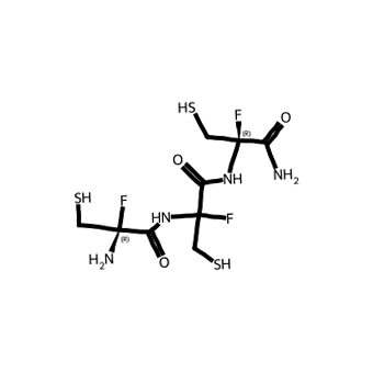 NC(=O)[C@@](F)(CS)NC(=O)C(F)(CS)NC(=O)[C@@](N)(F)CS